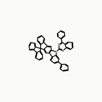 c1ccc(-c2ccc3c4cc5c(cc4n(-c4nc(-c6ccccc6)c6ccccc6n4)c3c2)-c2ccccc2C52c3ccccc3-c3ccccc32)cc1